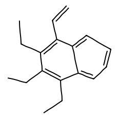 C=Cc1c(CC)c(CC)c(CC)c2ccccc12